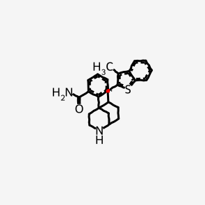 Cc1c(CC2CCC3CC2(c2[c]cccc2C(N)=O)CCN3)sc2ccccc12